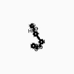 C[S@@](=O)(=NC(=O)c1cncc(C#Cc2ccc(NC(=O)c3cccs3)cc2)c1)c1ccccc1